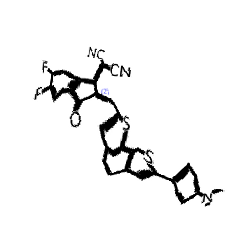 CN(C)c1ccc(-c2cc3ccc4cc(/C=C5\C(=O)c6cc(F)c(F)cc6C5=C(C#N)C#N)sc4c3s2)cc1